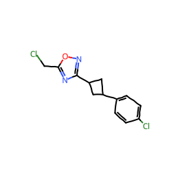 ClCc1nc(C2CC(c3ccc(Cl)cc3)C2)no1